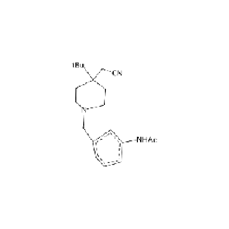 CC(=O)Nc1cccc(CN2CCC(CC#N)(C(C)(C)C)CC2)c1